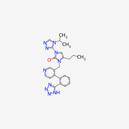 CCCc1cn(-c2nncn2C(C)C)c(=O)n1Cc1cnccc1-c1ccccc1-c1nnn[nH]1